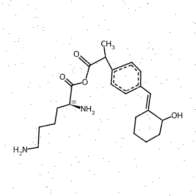 CC(C(=O)OC(=O)[C@@H](N)CCCCN)c1ccc(C=C2CCCCC2O)cc1